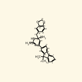 CC1(C)c2ccccc2-c2ccc(C3=CC(N)(Cc4ccc5c(c4)OCO5)NC(N)=N3)cc21